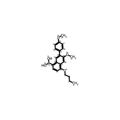 CCCCOc1ccc(B(O)O)c2cc(-c3ccc(OC)cc3)c(OC)cc12